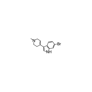 CN1CC=C(c2c[nH]c3cc(Br)ccc23)CC1